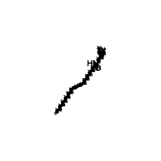 CCCCCCCCCCCCC#CC#CCCCCCCCCC(=O)NCCCn1cc[n+](C)c1